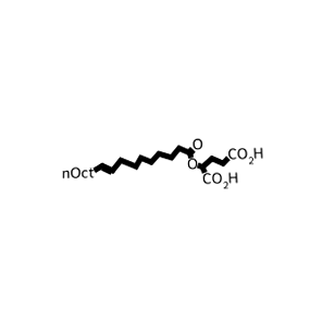 CCCCCCCCC=CCCCCCCCC(=O)OC(CCC(=O)O)C(=O)O